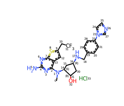 CN(c1nc(N)nc2sc(CC(F)(F)F)cc12)[C@H]1C[C@@H](NCc2ccc(-n3ccnc3)cc2)C[C@H]1O.Cl